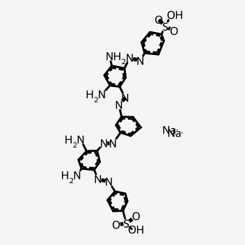 Nc1cc(N)c(N=Nc2cccc(N=Nc3cc(N=Nc4ccc(S(=O)(=O)O)cc4)c(N)cc3N)c2)cc1N=Nc1ccc(S(=O)(=O)O)cc1.[Na].[Na]